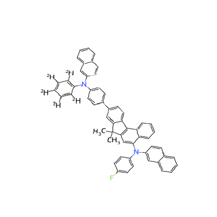 [2H]c1c([2H])c([2H])c(N(c2ccc(-c3ccc4c(c3)C(C)(C)c3cc(N(c5ccc(F)cc5)c5ccc6ccccc6c5)c5ccccc5c3-4)cc2)c2ccc3ccccc3c2)c([2H])c1[2H]